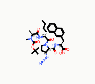 CCCC[C@@H](NC(=O)[C@H](C)N(C)C(=O)OC(C)(C)C)C(=O)N1CC[C@@H](N=[N+]=[N-])[C@H]1C(=O)N[C@@H](Cc1ccc2ccccc2c1)C(=O)O